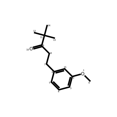 COc1cccc(CCC(=O)C(C)(C)C)c1